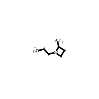 CC1CCN1CCO